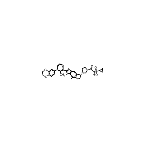 Cc1c(-c2ccc3c(c2)OCCO3)cccc1-c1nc2cc3c(c(F)c2o1)CC[C@H]3N1CC[C@@H](C(=O)NS(=O)(=O)C2CC2)C1